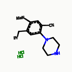 CNc1cc(C#N)c(N2CCNCC2)cc1CC(C)C.Cl.Cl